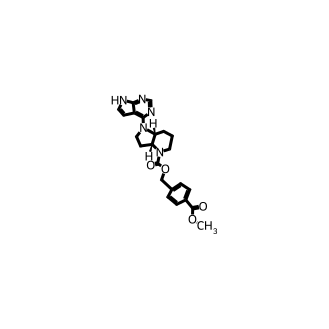 COC(=O)c1ccc(COC(=O)N2CCC[C@@H]3[C@H]2CCN3c2ncnc3[nH]ccc23)cc1